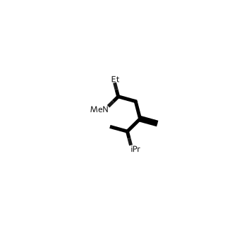 C=C(CC(CC)NC)C(C)C(C)C